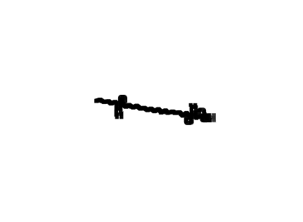 CCCCCCNC(=O)CCCCCCCCCCCCCCCCCCC(=O)NCC(=O)O